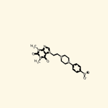 Cn1c(=O)c2c(ncn2CCN2CCN(c3ccc([N+](=O)[O-])cc3)CC2)n(C)c1=O